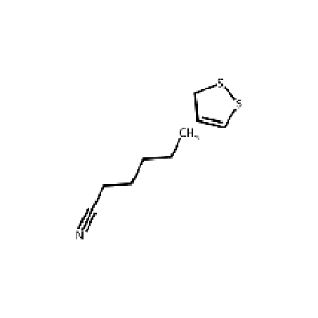 C1=CSSC1.CCCCCC#N